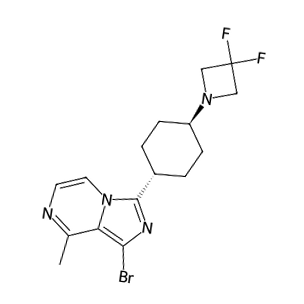 Cc1nccn2c1c(Br)nc2[C@H]1CC[C@H](N2CC(F)(F)C2)CC1